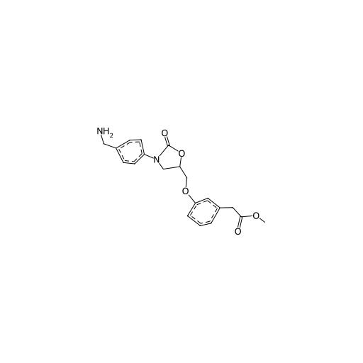 COC(=O)Cc1cccc(OCC2CN(c3ccc(CN)cc3)C(=O)O2)c1